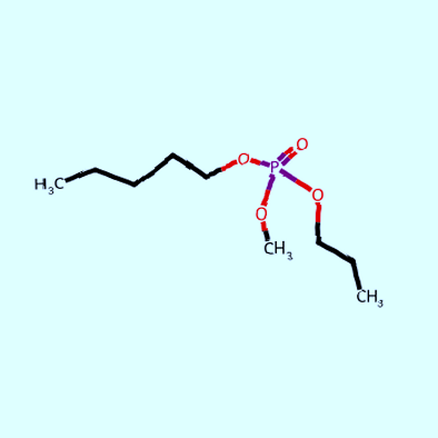 CCCCCOP(=O)(OC)OCCC